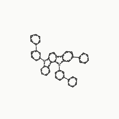 c1ccc(-c2cccc(-n3c4ccccc4c4c3ccc3c5ccc(-c6ccccc6)cc5n(-c5cccc(-c6ccccc6)c5)c34)c2)cc1